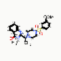 COc1cccc(S(=O)(=O)N2CCN(C(C)c3nc4ccccc4c(=O)n3C)CC2)c1